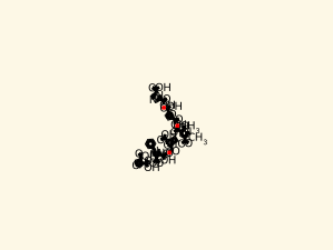 Cc1nc(C)c(C(=O)O)cc1C(=O)O.O=C(O)C1OC(C(=O)O)C2CCC12.O=C(O)c1ccc(C(=O)O)o1.O=C(O)c1cn(-c2ccccc2)nc1C(=O)O.O=C(O)c1cncc(C(=O)O)n1.O=C(O)c1cocc1C(=O)O